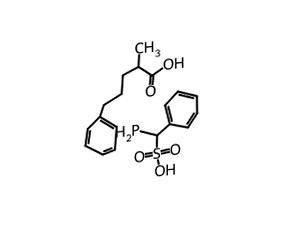 CC(CCCc1ccccc1)C(=O)O.O=S(=O)(O)C(P)c1ccccc1